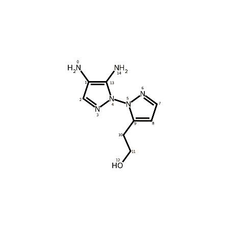 Nc1cnn(-n2nccc2CCO)c1N